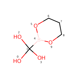 OC(O)(O)B1OCCCO1